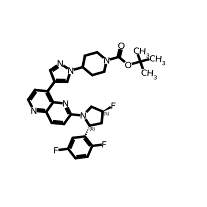 CC(C)(C)OC(=O)N1CCC(n2cc(-c3ccnc4ccc(N5C[C@@H](F)C[C@@H]5c5cc(F)ccc5F)nc34)cn2)CC1